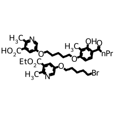 CCCC(=O)c1ccc(OCCCCCOc2cnc(C)c(C(=O)O)c2)c(C)c1O.CCOC(=O)c1cc(OCCCCCBr)cnc1C